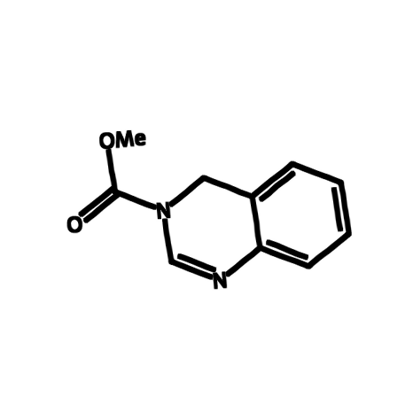 COC(=O)N1C=Nc2ccccc2C1